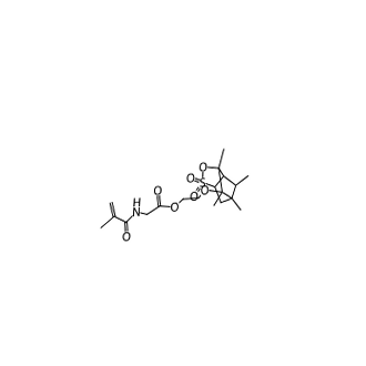 C=C(C)C(=O)NCC(=O)OCCOC1(C)C2(C)CC3C(C2C)C1(C)OS3(=O)=O